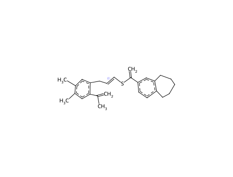 C=C(S/C=C/Cc1cc(C)c(C)cc1C(=C)C)c1ccc2c(c1)CCCCC2